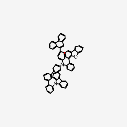 c1cc(-c2ccc(N(c3ccc(-c4cc5ccccc5c5ccccc45)cc3)c3ccccc3-c3cccc4c3oc3ccccc34)cc2)cc(-c2ccccc2-n2c3ccccc3c3ccccc32)c1